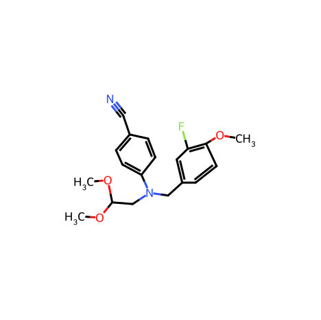 COc1ccc(CN(CC(OC)OC)c2ccc(C#N)cc2)cc1F